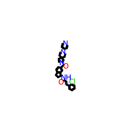 O=C(/C=C/c1ccccc1Cl)NC1CCc2ccc(C(=O)N3CCC4(CCN(c5ccncc5)CC4)C3)cc21